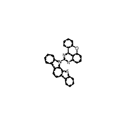 c1ccc2c(c1)Oc1cccc3nc(-n4c5ccccc5c5ccc6c7ccccc7sc6c54)nc-2c13